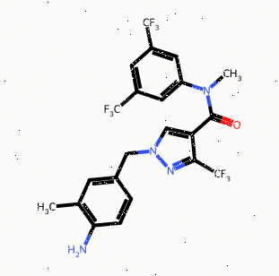 Cc1cc(Cn2cc(C(=O)N(C)c3cc(C(F)(F)F)cc(C(F)(F)F)c3)c(C(F)(F)F)n2)ccc1N